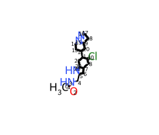 CC(=O)NCc1cc2cc(Cl)c(-c3ccn4nccc4c3)cc2[nH]1